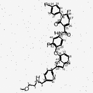 COCCNCc1ccc(-c2cc3nccc(Oc4ccc(NC(=O)c5ccc(C)n(-c6ccc(F)cc6)c5=O)cc4F)c3s2)nc1